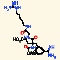 COC(=O)NC(CCC(=O)O)(Cc1cccc(C(=N)N)c1)C(=O)NCC(=O)NCCCCCNC(=N)N